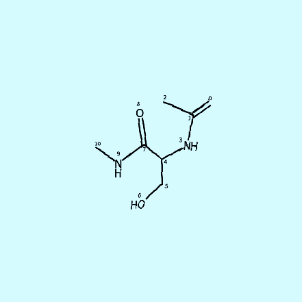 C=C(C)NC(CO)C(=O)NC